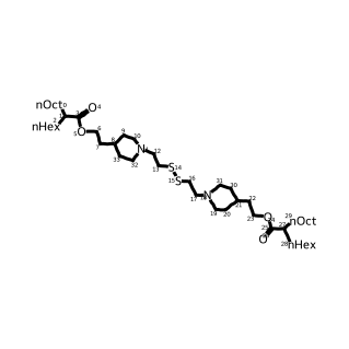 CCCCCCCCC(CCCCCC)C(=O)OCCC1CCN(CCSSCCN2CCC(CCOC(=O)C(CCCCCC)CCCCCCCC)CC2)CC1